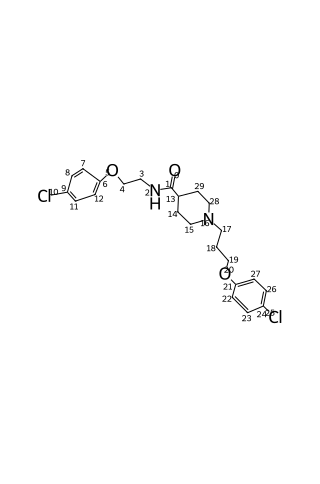 O=C(NCCOc1ccc(Cl)cc1)C1CCN(CCCOc2ccc(Cl)cc2)CC1